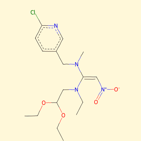 CCOC(CN(CC)C(=C[N+](=O)[O-])N(C)Cc1ccc(Cl)nc1)OCC